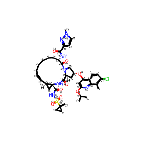 Cc1c(Cl)ccc2c(O[C@@H]3C[C@H]4C(=O)N[C@]5(C(=O)NS(=O)(=O)C6(C)CC6)C[C@H]5C=CCCCCC[C@H](NC(=O)c5ccn(C)n5)C(=O)N4C3)cc(OC(C)C)nc12